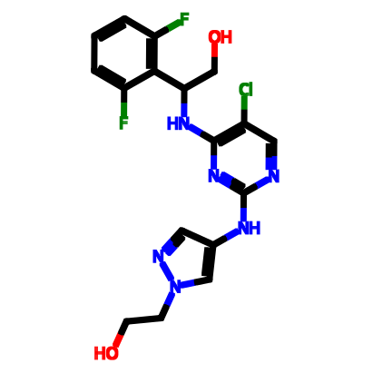 OCCn1cc(Nc2ncc(Cl)c(NC(CO)c3c(F)cccc3F)n2)cn1